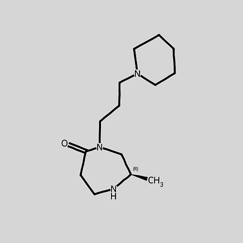 C[C@@H]1CN(CCCN2CCCCC2)C(=O)CCN1